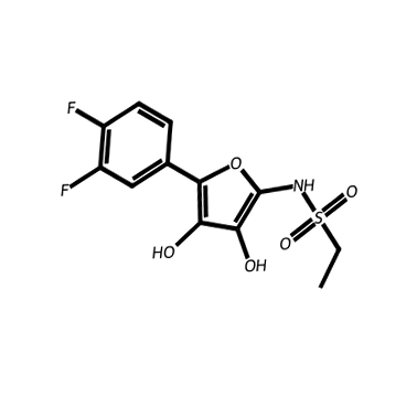 CCS(=O)(=O)Nc1oc(-c2ccc(F)c(F)c2)c(O)c1O